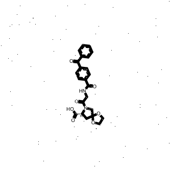 O=C(NCC(=O)N1CC2(C[C@@H]1C(=O)O)OCCO2)c1ccc(C(=O)c2ccccc2)cc1